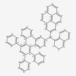 C1=c2ccccc2=C(N(c2cc3ccc4cccc5ccc(c2)c3c45)c2ccc3c(c2)c2ccccc2c2c(-c4ccccc4)cc(-c4ccccc4)c(-c4ccccc4)c32)CC1